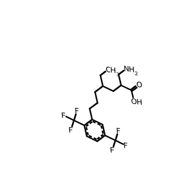 CCC(CCCc1cc(C(F)(F)F)ccc1C(F)(F)F)CC(CN)C(=O)O